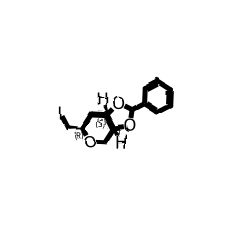 IC[C@H]1C[C@@H]2OC(c3ccccc3)O[C@@H]2CO1